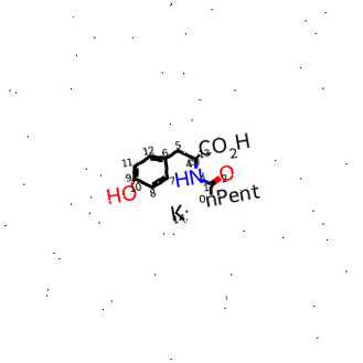 CCCCCC(=O)N[C@@H](Cc1ccc(O)cc1)C(=O)O.[K]